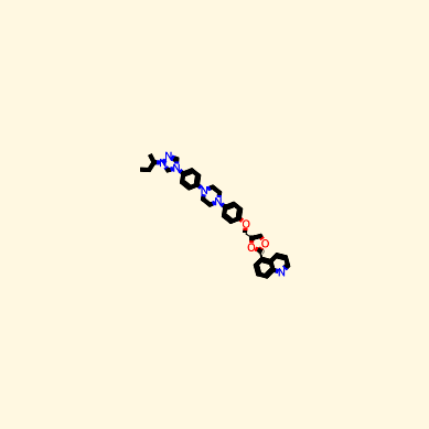 CCC(C)N1CN(c2ccc(N3CCN(c4ccc(OC[C@@H]5CO[C@@H](c6cccc7ncccc67)O5)cc4)CC3)cc2)C=N1